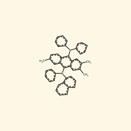 Cc1ccc2c(N(c3ccccc3)c3ccccc3)c3cc(C)c(C)cc3c(N(c3ccccc3)c3cccc4ccccc34)c2c1